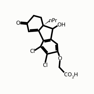 CCC[C@@]12CCC(=O)C=C1c1c(cc(OCC(=O)O)c(Cl)c1Cl)C2O